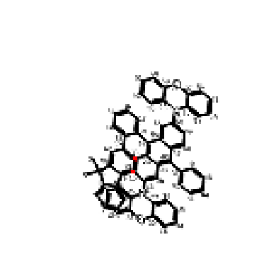 CC1(C)c2ccccc2-c2ccc(-c3ccccc3-c3c4ccc(N5c6ccccc6Oc6ccccc65)cc4c(-c4ccccc4)c4ccc(N5c6ccccc6Oc6ccccc65)cc34)cc21